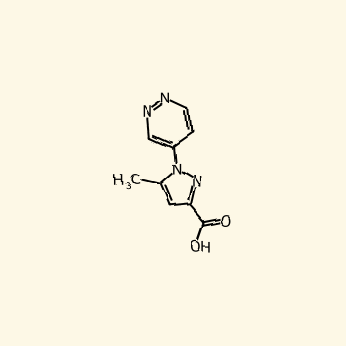 Cc1cc(C(=O)O)nn1-c1ccnnc1